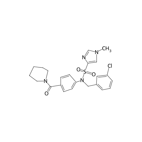 Cn1cnc(S(=O)(=O)N(Cc2cccc(Cl)c2)c2ccc(C(=O)N3CCCCC3)cc2)c1